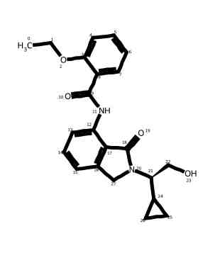 CCOc1ccccc1C(=O)Nc1cccc2c1C(=O)N([C@@H](CO)C1CC1)C2